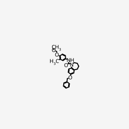 COCOc1ccc(NC(=O)N2CCCCc3cc(OCc4ccccc4)ccc32)cc1C